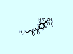 CCCC(=O)OC(=O)c1ccc(C(C)(C)C)cc1